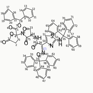 O=C1CCC(C(=O)OC(c2ccccc2)c2ccccc2)(N2OC[C@H](NC(=O)/C(=N\OC(c3ccccc3)(c3ccccc3)c3ccccc3)c3csc(NC(c4ccccc4)(c4ccccc4)c4ccccc4)n3)C2=O)O1